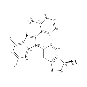 Cc1cc(C)c2nc(-c3cccnc3N)n(-c3ccc4c(c3)CC[C@@H]4N)c2n1